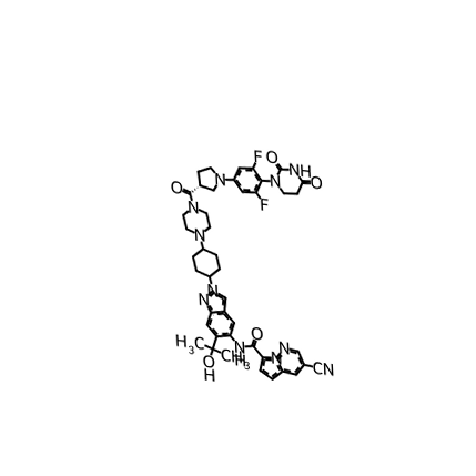 CC(C)(O)c1cc2nn(C3CCC(N4CCN(C(=O)[C@@H]5CCN(c6cc(F)c(N7CCC(=O)NC7=O)c(F)c6)C5)CC4)CC3)cc2cc1NC(=O)c1ccc2cc(C#N)cnn12